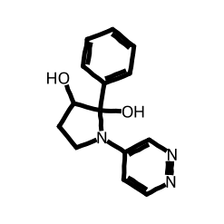 OC1CCN(c2ccnnc2)C1(O)c1ccccc1